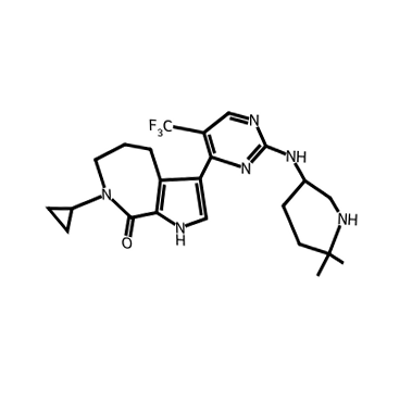 CC1(C)CCC(Nc2ncc(C(F)(F)F)c(-c3c[nH]c4c3CCCN(C3CC3)C4=O)n2)CN1